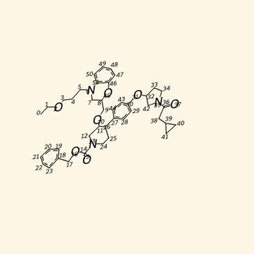 CCOCCCN1CC(COC2CN(C(=O)OCc3ccccc3)CCC2c2ccc(OC3CCN(C(=O)CC4CC4)C3)cc2)Oc2ccccc21